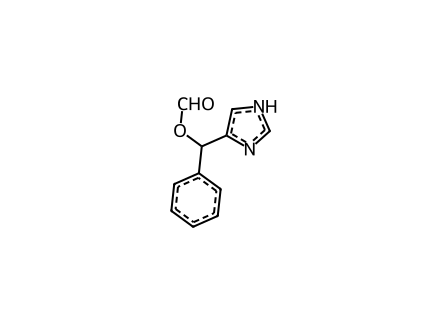 O=COC(c1ccccc1)c1c[nH]cn1